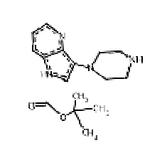 CC(C)(C)OC=O.c1cnc2c(N3CCNCC3)c[nH]c2c1